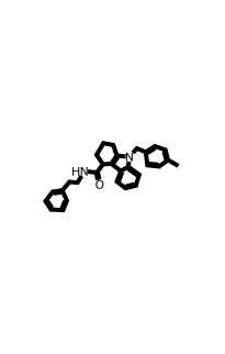 Cc1ccc(Cn2c3c(c4ccccc42)C(C(=O)NCCc2ccccc2)CCC3)cc1